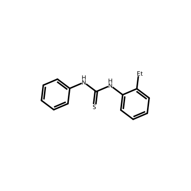 CCc1ccccc1NC(=S)Nc1ccccc1